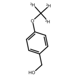 [2H]C([2H])([2H])Oc1ccc(CO)cc1